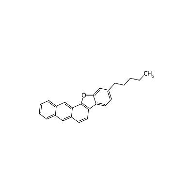 CCCCCc1ccc2c(c1)oc1c3cc4ccccc4cc3ccc21